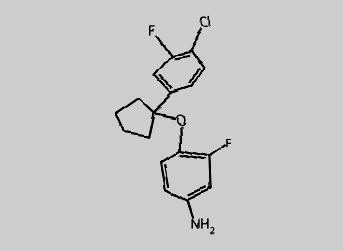 Nc1ccc(OC2(c3ccc(Cl)c(F)c3)CCCC2)c(F)c1